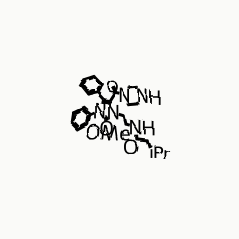 COc1ccccc1-n1c(-c2ccccc2)c(C(=O)N2CCNCC2)n(CCNC(=O)CC(C)C)c1=O